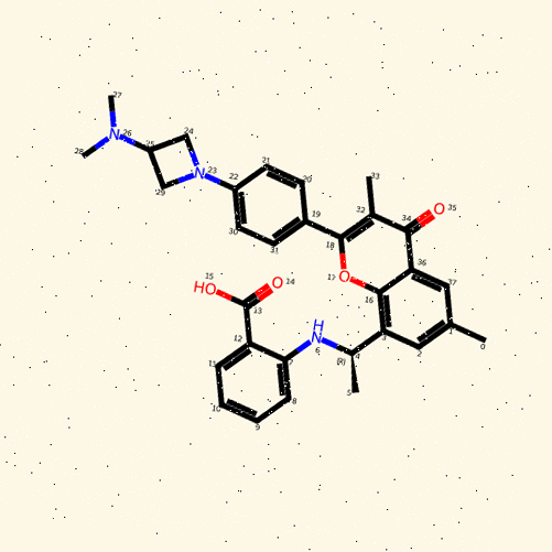 Cc1cc([C@@H](C)Nc2ccccc2C(=O)O)c2oc(-c3ccc(N4CC(N(C)C)C4)cc3)c(C)c(=O)c2c1